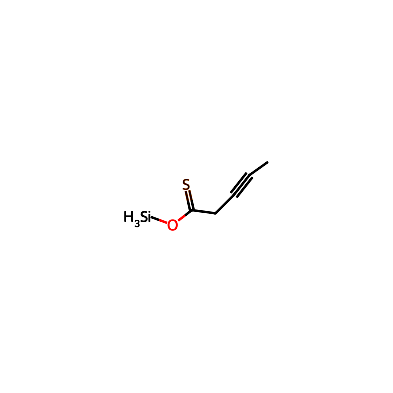 CC#CCC(=S)O[SiH3]